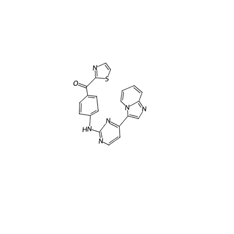 O=C(c1ccc(Nc2nccc(-c3cnc4ccccn34)n2)cc1)c1nccs1